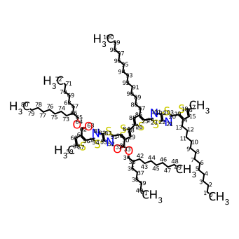 CCCCCCCCCCCCCCc1cc(C)sc1-c1nc2sc(-c3sc(-c4cc(C(=O)OCC(CCCCCC)CCCCCCCC)c(-c5nc6sc(-c7sc(C)cc7C(=O)OCC(CCCCCC)CCCCCCCC)nc6s5)s4)cc3CCCCCCCCCCCCCC)nc2s1